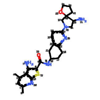 Cc1cc(C)c2c(N)c(C(=O)NC3CCc4nc(N5CC(N)C6(CCCO6)C5)ccc4C3)sc2n1